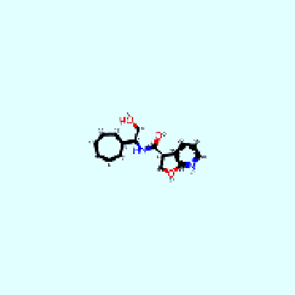 O=C(N[C@H](CO)C1CCCCCC1)[C@@H]1COc2ncccc21